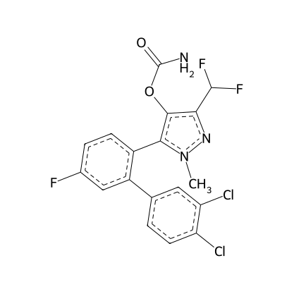 Cn1nc(C(F)F)c(OC(N)=O)c1-c1ccc(F)cc1-c1ccc(Cl)c(Cl)c1